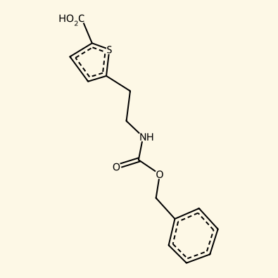 O=C(NCCc1ccc(C(=O)O)s1)OCc1ccccc1